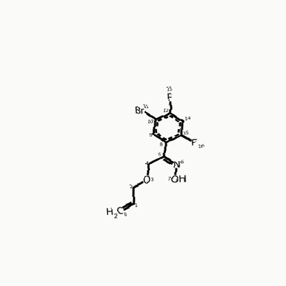 C=CCOC/C(=N\O)c1cc(Br)c(F)cc1F